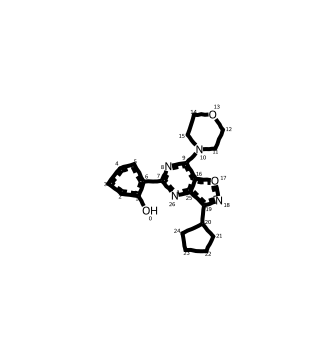 Oc1ccccc1-c1nc(N2CCOCC2)c2onc(C3CCCC3)c2n1